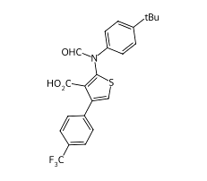 CC(C)(C)c1ccc(N(C=O)c2scc(-c3ccc(C(F)(F)F)cc3)c2C(=O)O)cc1